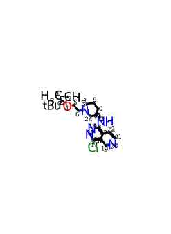 CC(C)(C)[Si](C)(C)OCCN1CCC[C@@H](Nc2nnc(Cl)c3cnccc23)C1